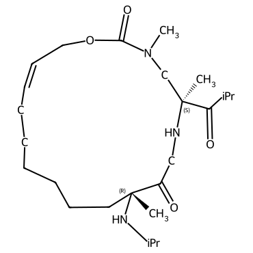 CC(C)N[C@]1(C)CCCCCCC=CCOC(=O)N(C)C[C@@](C)(C(=O)C(C)C)NCC1=O